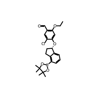 CCOc1cc(O[C@H]2CCc3c(B4OC(C)(C)C(C)(C)O4)cccc32)c(Cl)cc1C=O